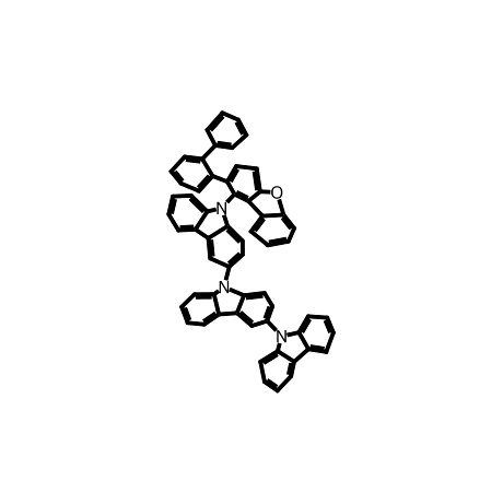 c1ccc(-c2ccccc2-c2ccc3oc4ccccc4c3c2-n2c3ccccc3c3cc(-n4c5ccccc5c5cc(-n6c7ccccc7c7ccccc76)ccc54)ccc32)cc1